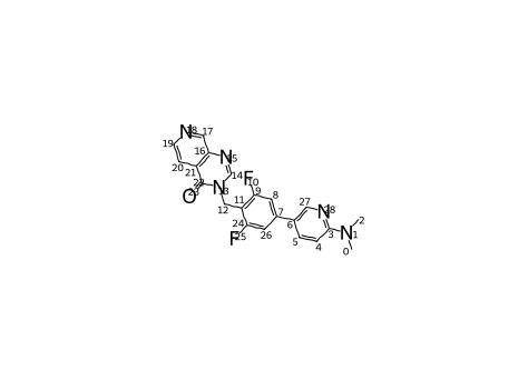 CN(C)c1ccc(-c2cc(F)c(Cn3cnc4cnccc4c3=O)c(F)c2)cn1